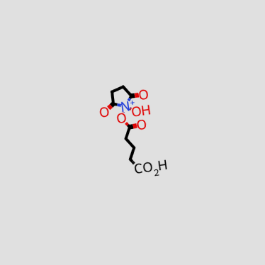 O=C(O)CCCC(=O)O[N+]1(O)C(=O)CCC1=O